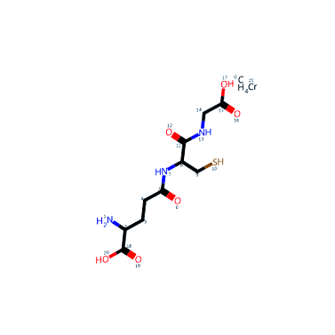 C.NC(CCC(=O)NC(CS)C(=O)NCC(=O)O)C(=O)O.[Cr]